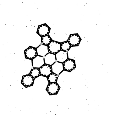 c1cc2c3c(c1)-n1c4ccccc4c4c5c6ccccc6n6c5c5c(c41)B3c1c3c4c(c7ccccc7n4-c4cccc-6c4B35)c3c4ccccc4n-2c13